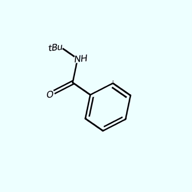 CC(C)(C)NC(=O)c1[c]cccc1